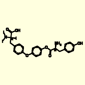 N[C@@H](Cc1ccc(O)cc1)C(=O)Oc1ccc(Oc2ccc(C[C@@](I)(C(=O)O)N(I)I)cc2)cc1